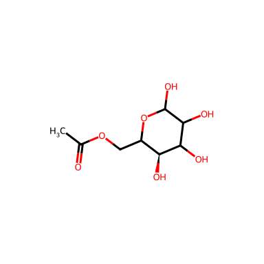 CC(=O)OCC1OC(O)C(O)C(O)[C@H]1O